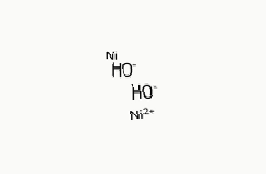 [Ni+2].[Ni].[OH-].[OH-]